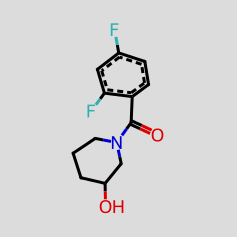 O=C(c1ccc(F)cc1F)N1CCCC(O)C1